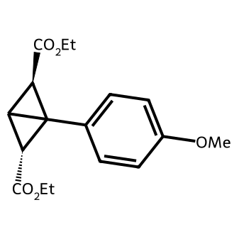 CCOC(=O)[C@@H]1C2[C@@H](C(=O)OCC)C21c1ccc(OC)cc1